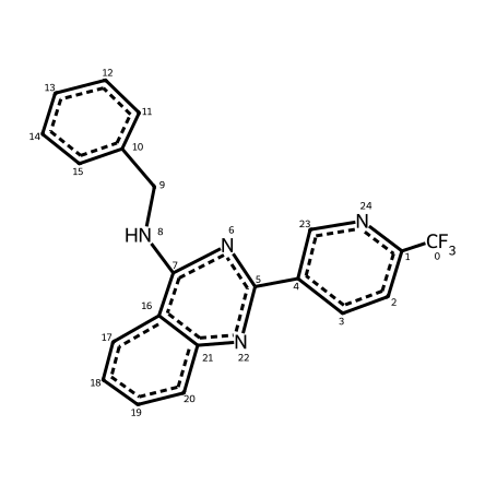 FC(F)(F)c1ccc(-c2nc(NCc3ccccc3)c3ccccc3n2)cn1